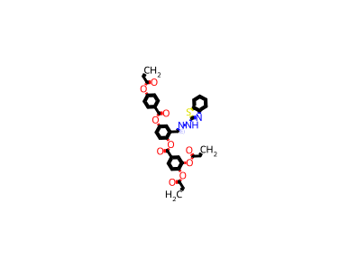 C=CC(=O)Oc1ccc(C(=O)Oc2ccc(OC(=O)c3ccc(OC(=O)C=C)c(OC(=O)C=C)c3)c(/C=N/Nc3nc4ccccc4s3)c2)cc1